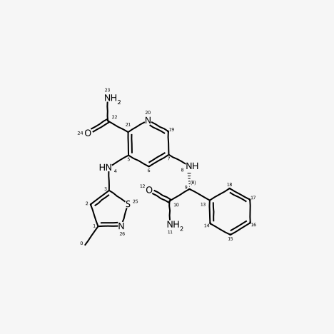 Cc1cc(Nc2cc(N[C@@H](C(N)=O)c3ccccc3)cnc2C(N)=O)sn1